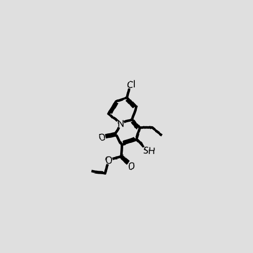 CCOC(=O)c1c(S)c(CC)c2cc(Cl)ccn2c1=O